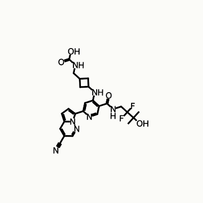 CC(C)(O)C(F)(F)CNC(=O)c1cnc(-c2ccc3cc(C#N)cnn23)cc1NC1CC(CNC(=O)O)C1